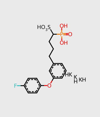 O=P(O)(O)C(CCCc1cccc(Oc2ccc(F)cc2)c1)S(=O)(=O)O.[KH].[KH].[KH]